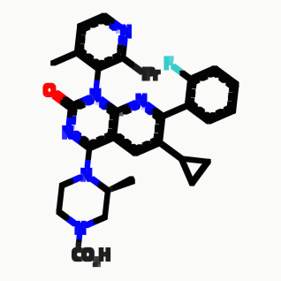 Cc1ccnc(C(C)C)c1-n1c(=O)nc(N2CCN(C(=O)O)C[C@@H]2C)c2cc(C3CC3)c(-c3ccccc3F)nc21